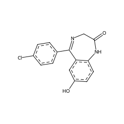 O=C1CN=C(c2ccc(Cl)cc2)c2cc(O)ccc2N1